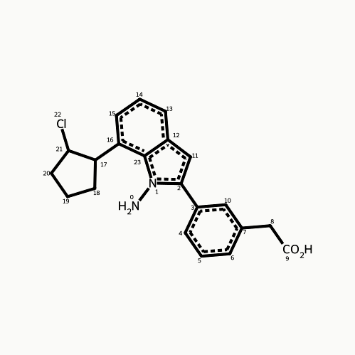 Nn1c(-c2cccc(CC(=O)O)c2)cc2cccc(C3CCCC3Cl)c21